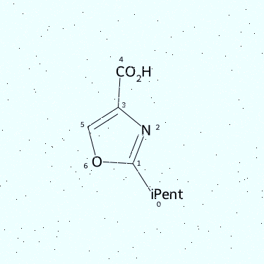 CCCC(C)c1nc(C(=O)O)co1